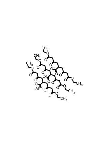 CCOC(=O)CC(=O)CC(CC(=O)CC(=O)OCC)C(=O)[O-].CCOC(=O)CC(=O)CC(CC(=O)CC(=O)OCC)C(=O)[O-].CCOC(=O)CC(=O)CC(CC(=O)CC(=O)OCC)C(=O)[O-].[Al+3]